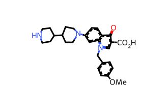 COc1ccc(Cn2cc(C(=O)O)c(=O)c3ccc(N4CCC(C5CCNCC5)CC4)cc32)cc1